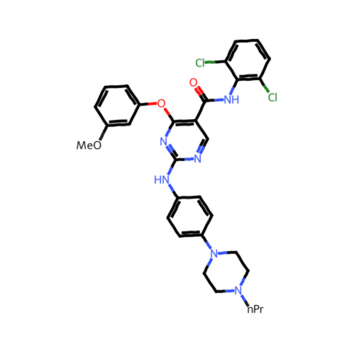 CCCN1CCN(c2ccc(Nc3ncc(C(=O)Nc4c(Cl)cccc4Cl)c(Oc4cccc(OC)c4)n3)cc2)CC1